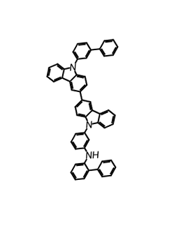 c1ccc(-c2cccc(-n3c4ccccc4c4cc(-c5ccc6c(c5)c5ccccc5n6-c5cccc(Nc6ccccc6-c6ccccc6)c5)ccc43)c2)cc1